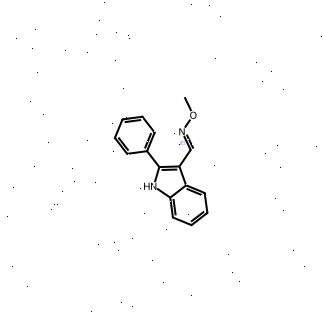 CO/N=C/c1c(-c2ccccc2)[nH]c2ccccc12